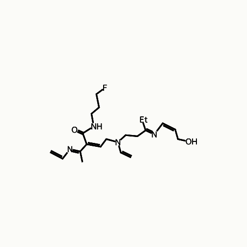 C=C/N=C(\C)C(=CCN(C=C)CC/C(CC)=N/C=C\CO)C(=O)NCCCF